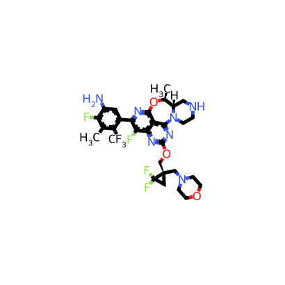 Cc1c(F)c(N)cc(-c2nc3c4c(nc(OC[C@@]5(CN6CCOCC6)CC5(F)F)nc4c2F)N2CCNC[C@H]2[C@H](C)O3)c1C(F)(F)F